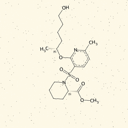 COC(=O)[C@@H]1CCCCN1S(=O)(=O)c1ccc(C)nc1O[C@H](C)CCCCO